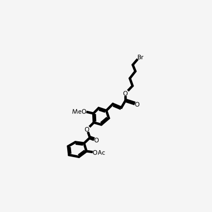 COc1cc(C=CC(=O)OCCCCBr)ccc1OC(=O)c1ccccc1OC(C)=O